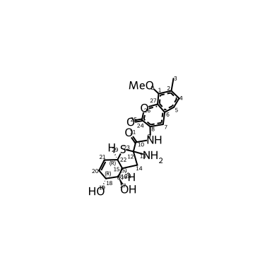 COc1c(C)ccc2cc(NC(=O)C3(N)C[C@H]4[C@@H](O)[C@H](O)C=C[C@H]4S3)c(=O)oc12